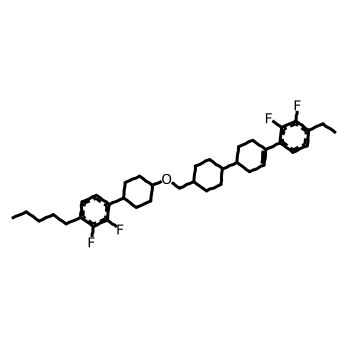 CCCCCc1ccc(C2CCC(OCC3CCC(C4CC=C(c5ccc(CC)c(F)c5F)CC4)CC3)CC2)c(F)c1F